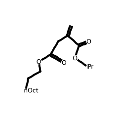 C=C(CC(=O)OCCCCCCCCCC)C(=O)OC(C)C